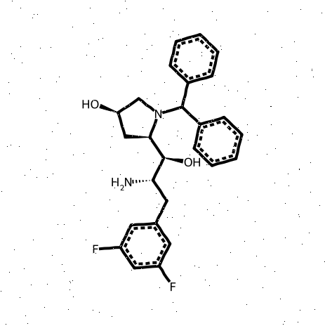 N[C@@H](Cc1cc(F)cc(F)c1)[C@H](O)[C@H]1C[C@@H](O)CN1C(c1ccccc1)c1ccccc1